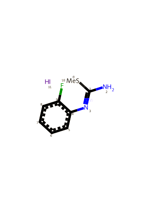 CS/C(N)=N\c1ccccc1F.I